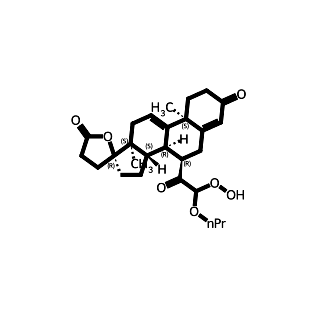 CCCOC(OO)C(=O)[C@@H]1CC2=CC(=O)CC[C@]2(C)C2=CC[C@@]3(C)[C@@H](CC[C@@]34CCC(=O)O4)[C@@H]21